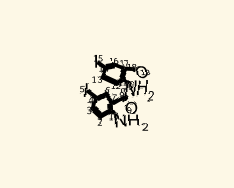 Nc1ccc(I)cc1C=O.Nc1ccc(I)cc1C=O